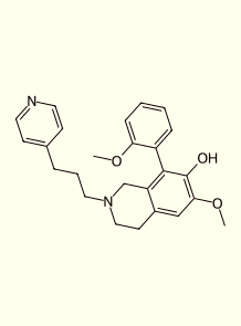 COc1ccccc1-c1c(O)c(OC)cc2c1CN(CCCc1ccncc1)CC2